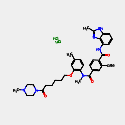 COc1cc(C(=O)N(C)c2ccc(C)cc2OCCCCCC(=O)N2CCN(C)CC2)ccc1C(=O)Nc1cccc2[nH]c(C)nc12.Cl.Cl